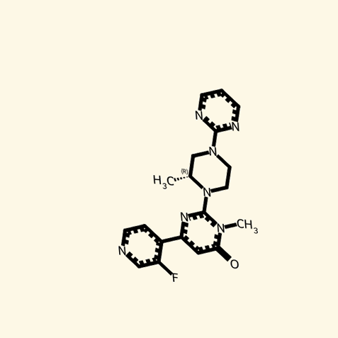 C[C@@H]1CN(c2ncccn2)CCN1c1nc(-c2ccncc2F)cc(=O)n1C